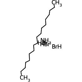 Br.Br.Br.CCCCCCCCCCCCCCCCCC.N